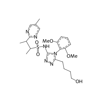 COc1cccc(OC)c1-n1c(CCCCO)nnc1NS(=O)(=O)C(C)C(C)c1ncc(C)cn1